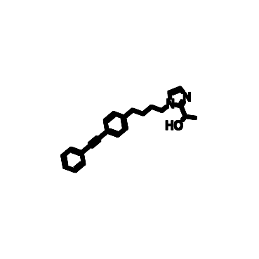 CC(O)c1nccn1CCCCc1ccc(C#Cc2ccccc2)cc1